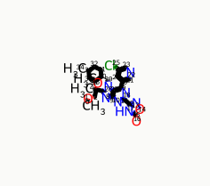 COCC(C)(OC)c1nc2nc(-c3noc(=O)[nH]3)nc(-c3cncc(Cl)c3)c2n1C[C@H]1CC[C@H](C)CC1